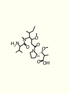 CCC(C)C(C(CC(=O)N1CCC[C@H]1C(OC)C(C)C(=O)O)OC)N(C)C(=O)C(N)C(C)C